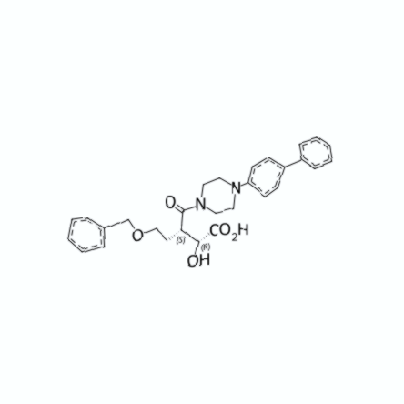 O=C(O)[C@H](O)[C@H](CCOCc1ccccc1)C(=O)N1CCN(c2ccc(-c3ccccc3)cc2)CC1